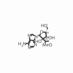 COC(C)[C@@]1(O)[C@H](O)[C@@H](CO)O[C@H]1n1cnc2c(N)ncnc21